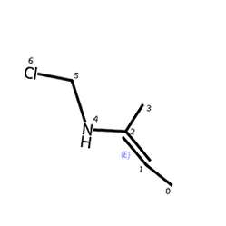 C/C=C(\C)NCCl